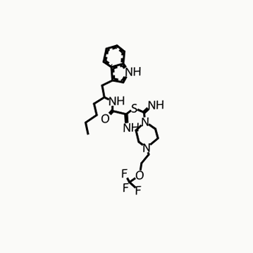 CCCCC(Cc1c[nH]c2ccccc12)NC(=O)C(=N)SC(=N)N1CCN(CCOC(F)(F)F)CC1